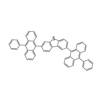 c1ccc(-c2c3ccccc3c(-c3ccc4c(c3)sc3ccc(-c5c6ccccc6c(-c6ccccc6)c6ccccc56)cc34)c3ccccc23)cc1